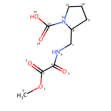 COC(=O)C(=O)NCC1CCCN1C(=O)O